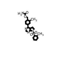 Cc1cc(-c2ncnc3c2ccn3S(=O)(=O)c2ccccc2C)ccc1COC(N)=O